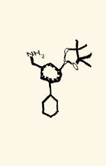 CC1(C)OB(c2cc(CN)cc(C3CCCCC3)c2)OC1(C)C